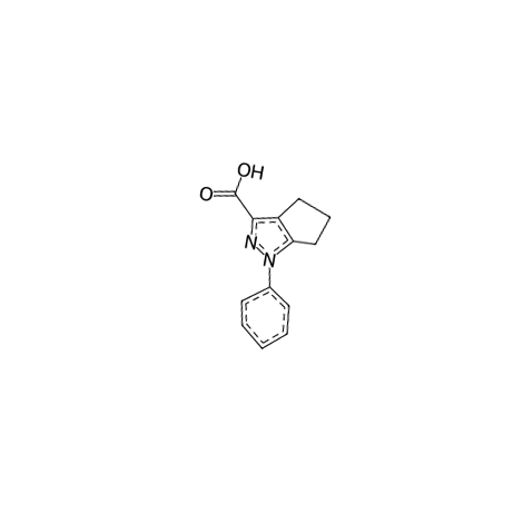 O=C(O)c1nn(-c2ccccc2)c2c1CCC2